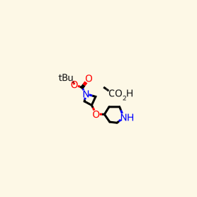 CC(=O)O.CC(C)(C)OC(=O)N1CC(OC2CCNCC2)C1